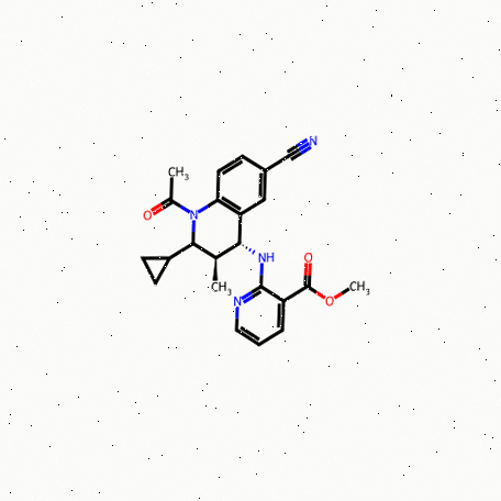 COC(=O)c1cccnc1N[C@H]1c2cc(C#N)ccc2N(C(C)=O)C(C2CC2)[C@@H]1C